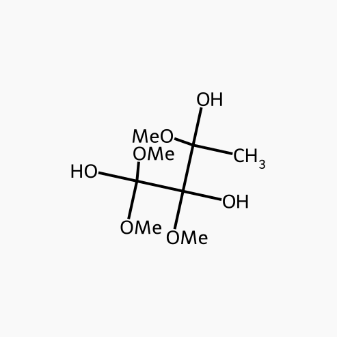 COC(C)(O)C(O)(OC)C(O)(OC)OC